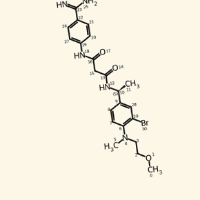 COCCN(C)c1ccc([C@H](C)NC(=O)CC(=O)Nc2ccc(C(=N)N)cc2)cc1Br